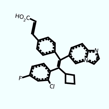 O=C(O)C=Cc1ccc(C(=C(c2ccc(F)cc2Cl)C2CCC2)c2ccc3nccn3c2)cc1